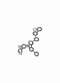 Cn1c2ccncc2c2cc(-n3c4ccc(-c5ccccc5)cc4c4cc(-c5cccc(-c6ccc7oc8ccccc8c7c6)c5)ccc43)ccc21